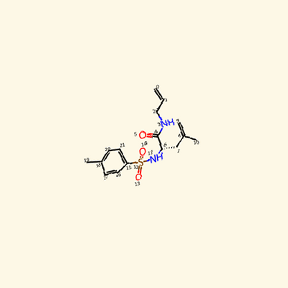 C=CCNC(=O)[C@H](CC(=C)C)NS(=O)(=O)c1ccc(C)cc1